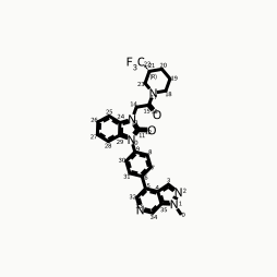 Cn1ncc2c(-c3ccc(-n4c(=O)n(CC(=O)N5CCC[C@@H](C(F)(F)F)C5)c5ccccc54)cc3)cncc21